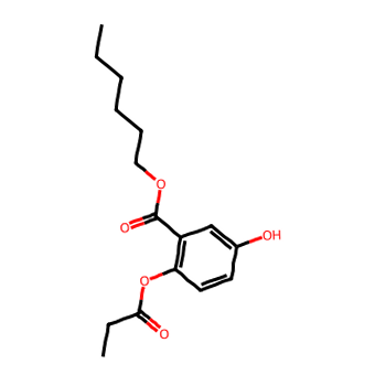 CCCCCCOC(=O)c1cc(O)ccc1OC(=O)CC